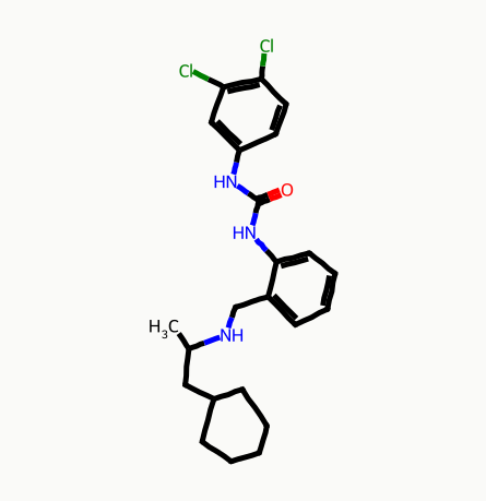 CC(CC1CCCCC1)NCc1ccccc1NC(=O)Nc1ccc(Cl)c(Cl)c1